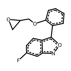 Fc1ccc2c(-c3ccccc3OCC3CO3)onc2c1